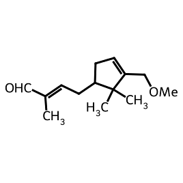 COCC1=CCC(CC=C(C)C=O)C1(C)C